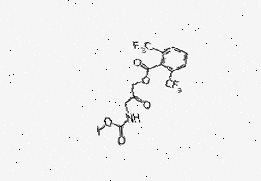 O=C(CNC(=O)OI)COC(=O)c1c(C(F)(F)F)cccc1C(F)(F)F